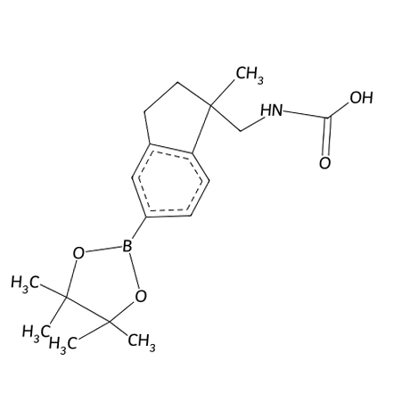 CC1(CNC(=O)O)CCc2cc(B3OC(C)(C)C(C)(C)O3)ccc21